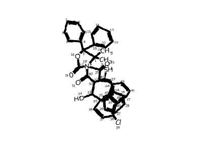 CC1(C)C(c2ccccc2)(c2ccccc2)OC(=O)[N+]1(C(=O)/C=C/c1ccccc1)C(=O)C(C(O)c1ccc(Cl)cc1)[C@@H](S)c1ccccc1